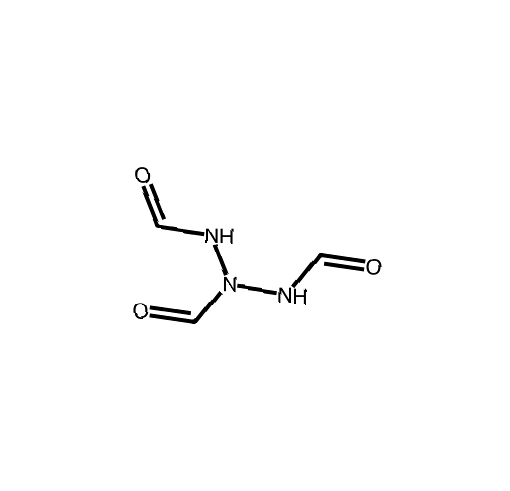 O=CNN(C=O)NC=O